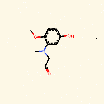 COc1ccc(O)cc1N(C)CC=O